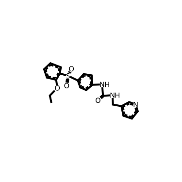 CCOc1ccccc1S(=O)(=O)c1ccc(NC(=O)NCc2cccnc2)cc1